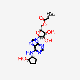 CC(C)(C)CC(=O)OC[C@H]1O[C@@H](n2cnc3c(N[C@@H]4CCC[C@H]4O)ncnc32)[C@H](O)[C@@H]1O